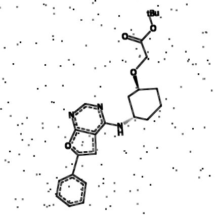 CC(C)(C)OC(=O)CO[C@H]1CCC[C@H](Nc2ncnc3oc(-c4ccccc4)cc23)C1